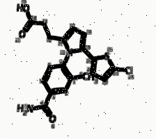 Cc1cc(C(N)=O)ccc1-n1c(CCC(=O)O)ccc1-c1ccc(Cl)s1